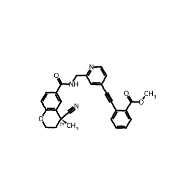 COC(=O)c1ccccc1C#Cc1ccnc(CNC(=O)c2ccc3c(c2)[C@](C)(C#N)CCO3)c1